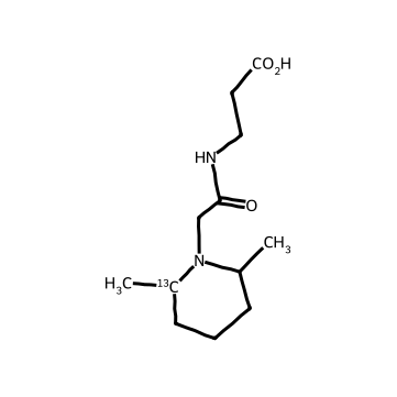 CC1CCC[13CH](C)N1CC(=O)NCCC(=O)O